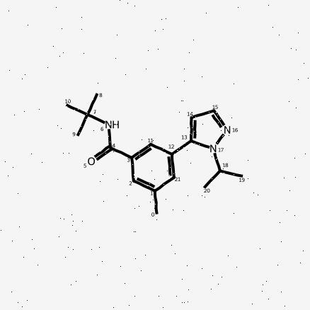 Cc1cc(C(=O)NC(C)(C)C)cc(-c2ccnn2C(C)C)c1